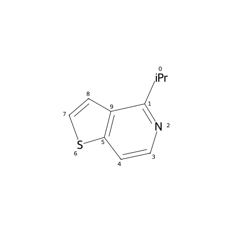 CC(C)c1nccc2sccc12